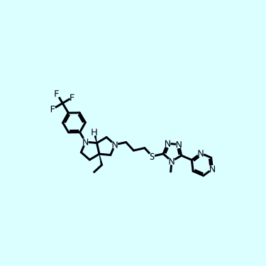 CC[C@@]12CCN(c3ccc(C(F)(F)F)cc3)[C@@H]1CN(CCCSc1nnc(-c3ccncn3)n1C)C2